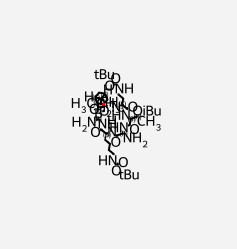 CC(C)CO[C@H](C)[C@H](NC(=O)[C@@H](N)CCNC(=O)OC(C)(C)C)C(=O)N[C@@H](N)C(=O)N[C@@H](CCCCNC(=O)OC(C)(C)C)C(=O)N[C@@H](N)B1OC2C[C@@H]3C[C@@H](C3(C)C)[C@]2(C)O1